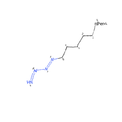 CCCCCCCCCCN=NN=N